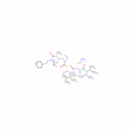 CC[C@H](C)[C@@H]([C@@H](CC(=O)N1CCC[C@H]1[C@H](OC)[C@@H](C)C(=O)NCCc1ccccc1)OC)N(C)C(=O)[C@H](CCN)NC(=O)C(C(C)C)N(C)C